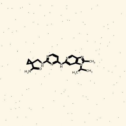 Cc1nc2cnc(Nc3ccnc(NCC4(C(N)=O)CC4)n3)cc2n1C(C)C